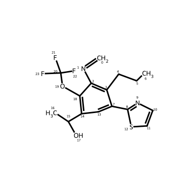 C=Nc1c(CCC)c(-c2nccs2)cc(C(C)O)c1OC(F)(F)F